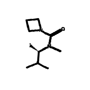 CC(C)[C@H](I)N(C)C(=O)N1CCC1